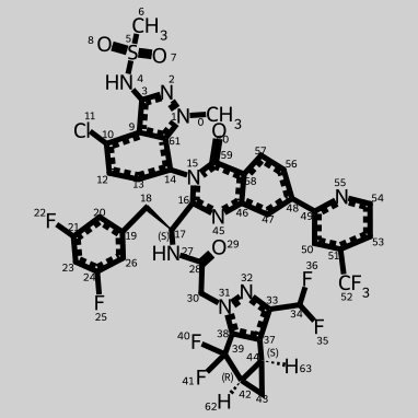 Cn1nc(NS(C)(=O)=O)c2c(Cl)ccc(-n3c([C@H](Cc4cc(F)cc(F)c4)NC(=O)Cn4nc(C(F)F)c5c4C(F)(F)[C@@H]4C[C@H]54)nc4cc(-c5cc(C(F)(F)F)ccn5)ccc4c3=O)c21